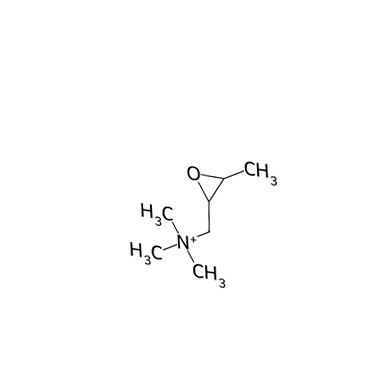 CC1OC1C[N+](C)(C)C